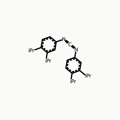 CC(C)c1ccc(N=C=Nc2ccc(C(C)C)c(C(C)C)c2)cc1C(C)C